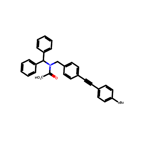 CCCCc1ccc(C#Cc2ccc(CN(C(=O)C(=O)O)C(c3ccccc3)c3ccccc3)cc2)cc1